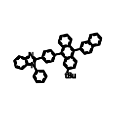 CC(C)(C)c1ccc2c(-c3ccc4ccccc4c3)c3ccccc3c(-c3ccc(-c4nc5ccccc5n4-c4ccccc4)cc3)c2c1